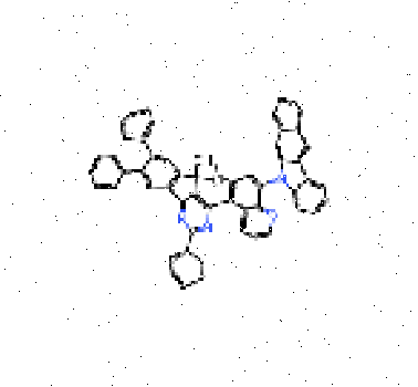 CC1(C)c2cc(-c3ccccc3)c(-c3ccccc3)cc2-c2nc(-c3ccccc3)nc(-c3ccc(-n4c5ccccc5c5cc6ccccc6cc54)c4ncccc34)c21